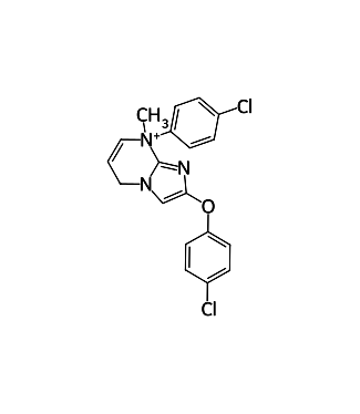 C[N+]1(c2ccc(Cl)cc2)C=CCn2cc(Oc3ccc(Cl)cc3)nc21